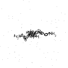 NCc1cccc(C2CCN(C(=O)c3ccc(NC(=O)N4C5CC[C@@]5(O)N(C(=O)Nc5ccc(C(=O)N6CCC(c7cccc(CN)c7)CC6)cc5)C5CC[C@]54O)cc3)CC2)c1